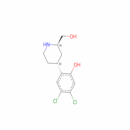 OC[C@H]1C[C@H](c2cc(Cl)c(Cl)cc2O)CCN1